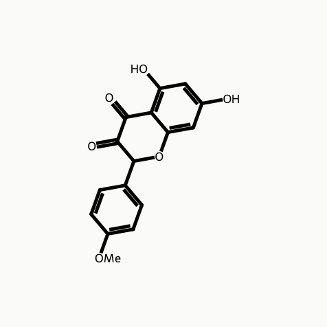 COc1ccc(C2Oc3cc(O)cc(O)c3C(=O)C2=O)cc1